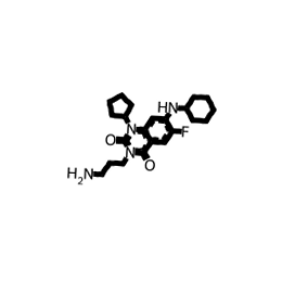 NCCCn1c(=O)c2cc(F)c(NC3CCCCC3)cc2n(C2CCCC2)c1=O